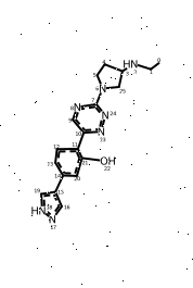 CCNC1CCN(c2ncc(-c3ccc(-c4cn[nH]c4)cc3O)nn2)C1